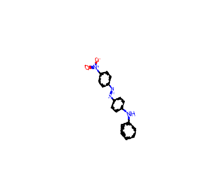 O=[N+]([O-])c1ccc(/N=N/c2ccc(Nc3ccccc3)cc2)cc1